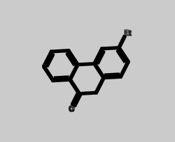 CCc1ccc2c(c1)-c1ccccc1C(=O)C2